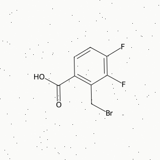 O=C(O)c1ccc(F)c(F)c1CBr